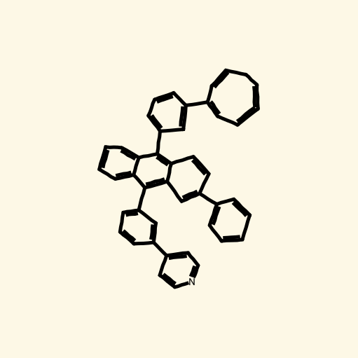 C1=C/C=C(c2cccc(-c3c4ccccc4c(-c4cccc(-c5ccncc5)c4)c4cc(-c5ccccc5)ccc34)c2)\C=C/CC=1